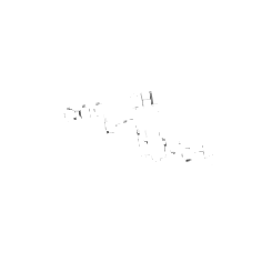 CC(OC(=O)[O-])n1cc[n+](C)c1